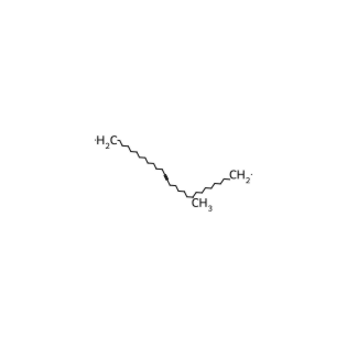 [CH2]CCCCCCCCCCCC#CCCCCCC(C)CCCCCCCC[CH2]